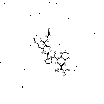 C=CCCC(NC(=O)[C@@H]1CCCN1C(=O)[C@@H](NC(=O)C(O)C(C)C)C1CCCCC1)C(=O)C(=O)NCC=C